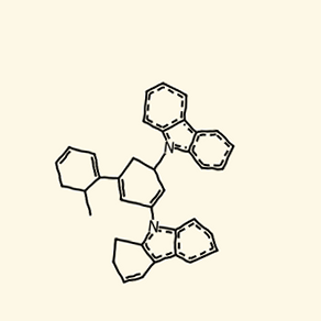 CC1CC=CC=C1C1=CC(n2c3c(c4ccccc42)C=CCC3)=CC(n2c3ccccc3c3ccccc32)C1